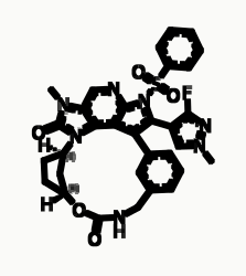 Cn1cc(-c2c3c4c(ncc5c4n(c(=O)n5C)[C@@H]4CC[C@H](C4)OC(=O)NCc4cccc-3c4)n2S(=O)(=O)c2ccccc2)c(F)n1